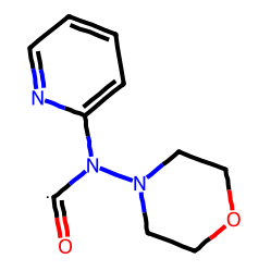 O=[C]N(c1ccccn1)N1CCOCC1